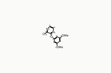 COc1cc(OC)cc(Oc2nccnc2Cl)c1